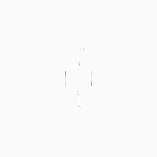 [CH2]CN1CCN(CCC)CC1